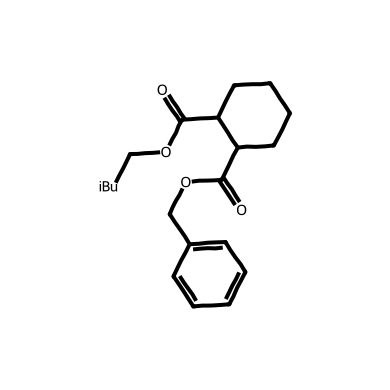 CCC(C)COC(=O)C1CCCCC1C(=O)OCc1ccccc1